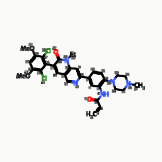 C=CC(=O)Nc1cc(-c2cc3c(cn2)cc(-c2c(Cl)c(OC)cc(OC)c2Cl)c(=O)n3CC)ccc1N1CCN(C)CC1